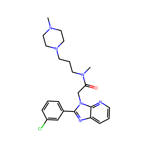 CN1CCN(CCCN(C)C(=O)Cn2c(-c3cccc(Cl)c3)nc3cccnc32)CC1